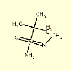 CN=S(N)(=O)C(C)(C)C